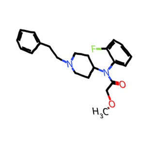 COCC(=O)N(c1ccccc1F)C1CCN(CCc2ccccc2)CC1